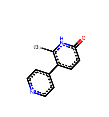 CC(C)(C)c1[nH]c(=O)ccc1-c1ccncc1